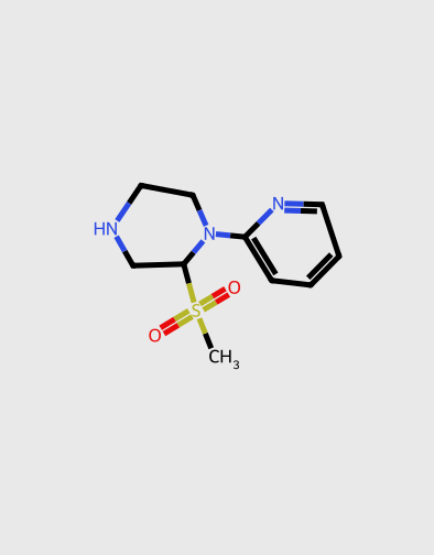 CS(=O)(=O)C1CNCCN1c1ccccn1